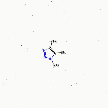 CCCCc1nnn(CCCC)c1C(C)(C)C